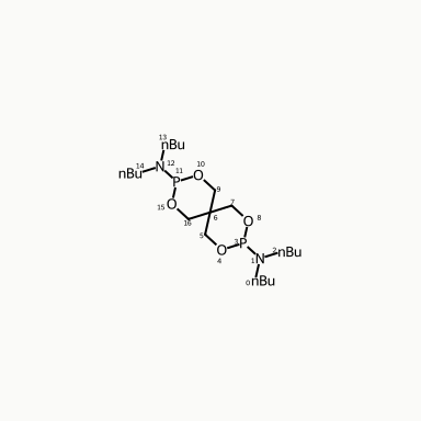 CCCCN(CCCC)P1OCC2(CO1)COP(N(CCCC)CCCC)OC2